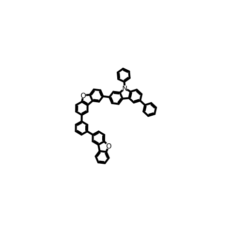 c1ccc(-c2ccc3c(c2)c2ccc(-c4ccc5oc6ccc(-c7cccc(-c8ccc9oc%10ccccc%10c9c8)c7)cc6c5c4)cc2n3-c2ccccc2)cc1